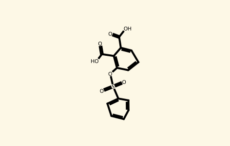 O=C(O)c1cccc(OS(=O)(=O)c2ccccc2)c1C(=O)O